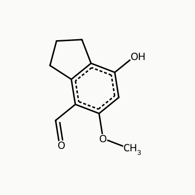 COc1cc(O)c2c(c1C=O)CCC2